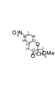 COCC1(C)Oc2ccc([N+](=O)[O-])cc2CC1=O